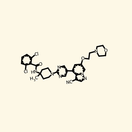 CC1(NC(=O)c2c(Cl)cccc2Cl)CCN(c2ncc(-c3cc(OCCN4CCOCC4)cn4ncc(C#N)c34)cn2)CC1